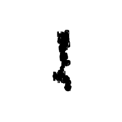 Nc1ncnc2c1c(-c1ccc(Oc3ccccc3)cc1)nn2CCCCCC(=O)N1CCN(c2[c]c3c(cc2)C(=O)N(C2CCC(=O)NC2=O)C3=O)CC1